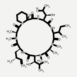 C=C[C@H](C)C[C@@H]1NC(=O)[C@H]([C@H](O)C(C)C)N(C)C(=O)[C@H](C)N(C)C(=O)C(C(C)CC)NC(=O)C([C@H](O)C(C)C)NC(=O)[C@H]2CCCCN2C(=O)[C@H](C)N(C)C1=O